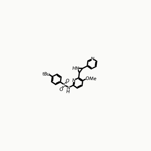 COc1ccc(NS(=O)(=O)c2ccc(C(C)(C)C)cc2)nc1C1NC1c1cccnc1